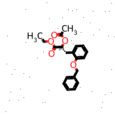 CCOC(=O)[C@@H](Cc1ccccc1OCc1ccccc1)OC(C)=O